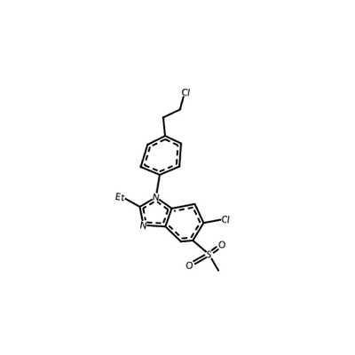 CCc1nc2cc(S(C)(=O)=O)c(Cl)cc2n1-c1ccc(CCCl)cc1